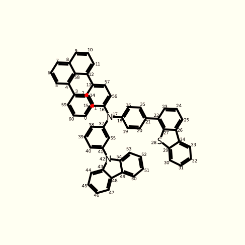 c1ccc(-c2cccc3cccc(-c4ccc(N(c5ccc(-c6cccc7c6sc6ccccc67)cc5)c5cccc(-n6c7ccccc7c7ccccc76)c5)cc4)c23)cc1